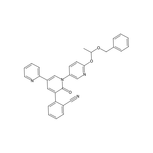 CC(OCc1ccccc1)Oc1ccc(-n2cc(-c3ccccn3)cc(-c3ccccc3C#N)c2=O)cn1